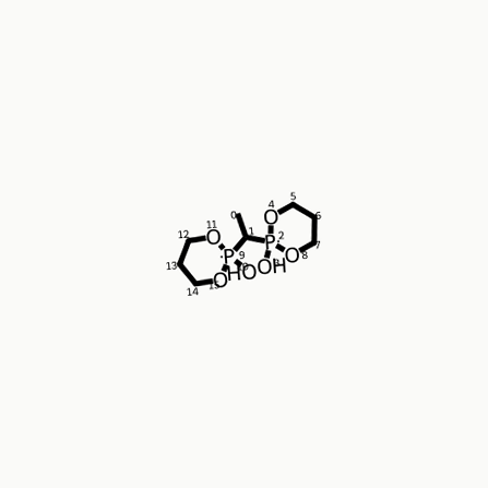 CC([P]1(O)OCCCO1)[P]1(O)OCCCO1